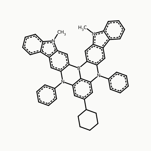 Cn1c2ccccc2c2cc3c(cc21)B1c2cc4c(cc2N(c2ccccc2)c2cc(C5CCCCC5)cc(c21)N3c1ccccc1)c1ccccc1n4C